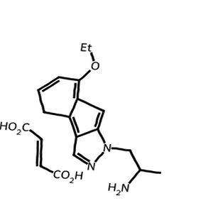 CCOC1=C2C=c3c(cnn3CC(C)N)=C2CC=C1.O=C(O)C=CC(=O)O